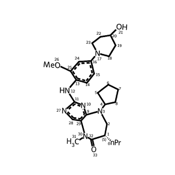 CCC[C@H]1CN(C2CCCC2)c2nc(Nc3ccc(N4CCC(O)CC4)cc3OC)ncc2N(C)C1=O